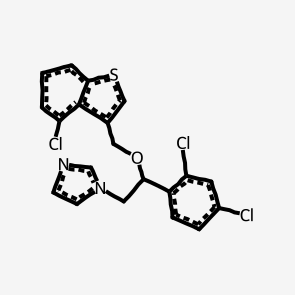 Clc1ccc(C(Cn2ccnc2)OCc2csc3cccc(Cl)c23)c(Cl)c1